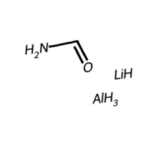 NC=O.[AlH3].[LiH]